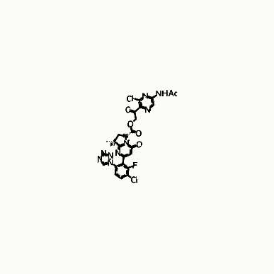 CC(=O)Nc1cnc(C(=O)COC(=O)[C@H]2C[C@@H](C)c3nc(-c4c(-n5cnnn5)ccc(Cl)c4F)cc(=O)n32)c(Cl)n1